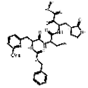 COc1cccc(CC(NC(=O)OCc2ccccc2)C(=O)NC(CC(C)C)C(=O)NC(C[C@@H]2CCNC2=O)C(=O)C(=O)NC(C)C)n1